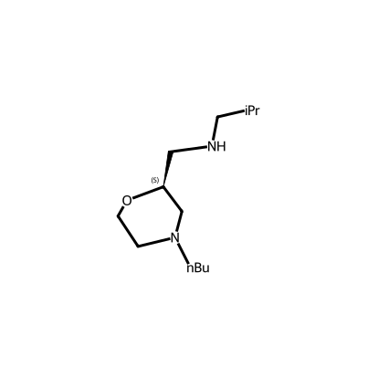 CCCCN1CCO[C@@H](CNCC(C)C)C1